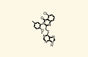 COc1ccc(C)cc1-n1c(CSc2ncnc3[nH]cnc23)nc2cccc(Cl)c2c1=O